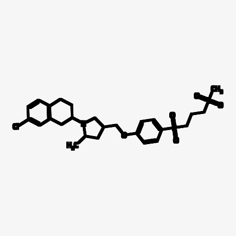 CC1CC(COc2ccc(S(=O)(=O)CCCS(C)(=O)=O)cc2)CN1C1CCc2ccc(Cl)cc2C1